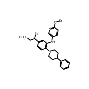 CCOc1ncc(Nc2cc(C(CC)CC(=O)O)ccc2N2CCC(c3ccccc3)CC2)cn1